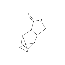 O=C1OCC2C1C1CCC2C12CC2